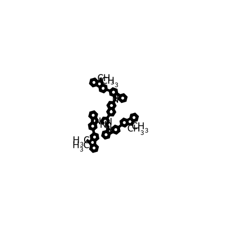 CC1(C)c2ccccc2-c2ccc(-c3ccc4c5ccccc5n(-c5ccc6cc(-c7cc(-n8c9ccccc9c9ccc(-c%10ccc%11c(c%10)C(C)(C)c%10ccccc%10-%11)cc98)nc(-n8c9ccccc9c9ccc(-c%10ccc%11c(c%10)C(C)(C)c%10ccccc%10-%11)cc98)n7)ccc6c5)c4c3)cc21